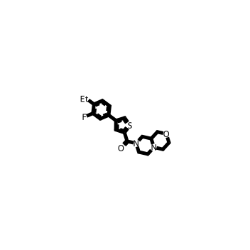 CCc1ccc(-c2csc(C(=O)N3CCN4CCOCC4C3)c2)cc1F